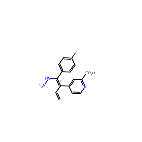 C=C/C(=C(\NN)c1ccc(F)cc1)c1ccnc(C(=O)O)c1